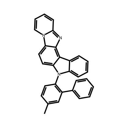 Cc1ccc(-n2c3ccccc3c3c4nc5ccccn5c4ccc32)c(-c2ccccc2)c1